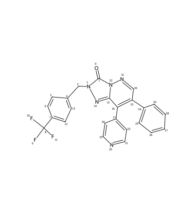 O=c1n(Cc2ccc(C(F)(F)F)cc2)nc2c(-c3ccncc3)c(-c3ccccc3)cnn12